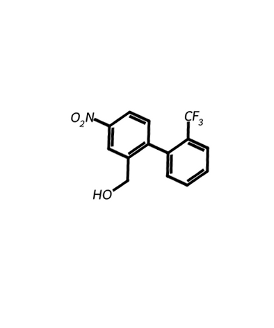 O=[N+]([O-])c1ccc(-c2ccccc2C(F)(F)F)c(CO)c1